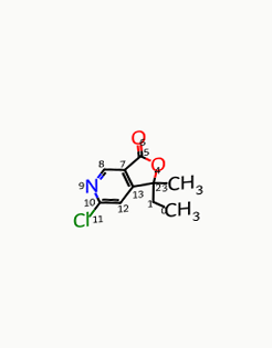 CCC1(C)OC(=O)c2cnc(Cl)cc21